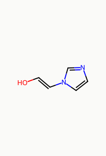 OC=Cn1ccnc1